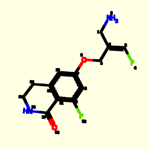 NC/C(=C/F)COc1cc(F)c2c(c1)CCNC2=O